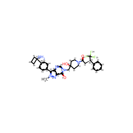 Cn1nc2c(=O)n(CC3(O)CCN(C(=O)C[C@H](c4ccccc4)C(F)(F)F)CC3)cnc2c1-c1ccc(C2(N)CCC2)cc1